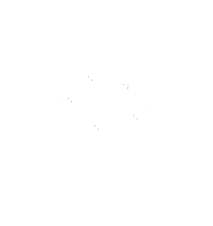 Nc1nc(=O)[nH]c2c1[n+]([O-])c1ccccc1[n+]2[O-]